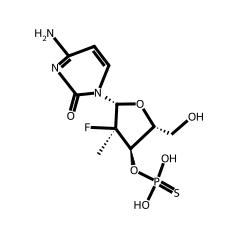 C[C@@]1(F)[C@H](OP(O)(O)=S)[C@@H](CO)O[C@H]1n1ccc(N)nc1=O